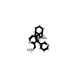 COC1(c2ccnc(CN)c2)C2CCCC1CN(Cc1cccnc1)C2